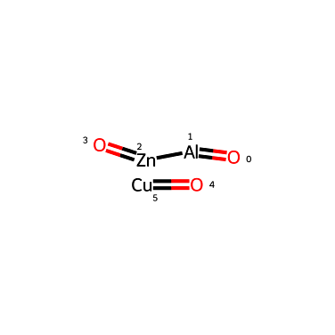 [O]=[Al][Zn]=[O].[O]=[Cu]